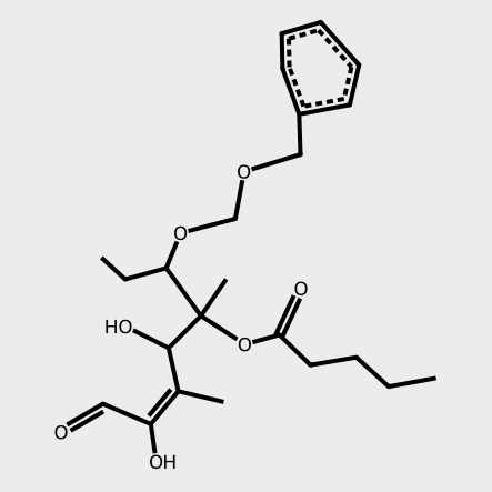 CCCCC(=O)OC(C)(C(CC)OCOCc1ccccc1)C(O)/C(C)=C(/O)C=O